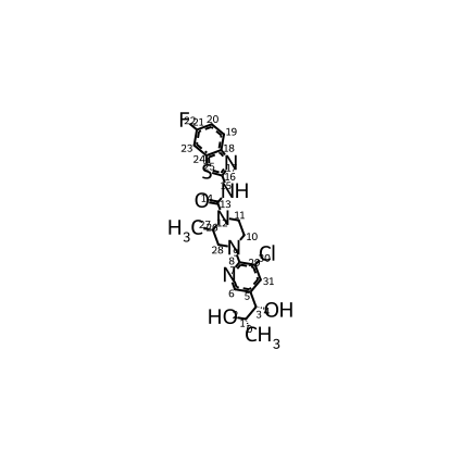 C[C@H](O)[C@@H](O)c1cnc(N2CCN(C(=O)Nc3nc4ccc(F)cc4s3)[C@H](C)C2)c(Cl)c1